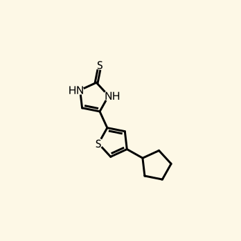 S=c1[nH]cc(-c2cc(C3CCCC3)cs2)[nH]1